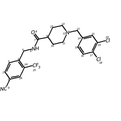 N#Cc1ccc(CNC(=O)C2CCN(Cc3ccc(Cl)c(Cl)c3)CC2)c(C(F)(F)F)c1